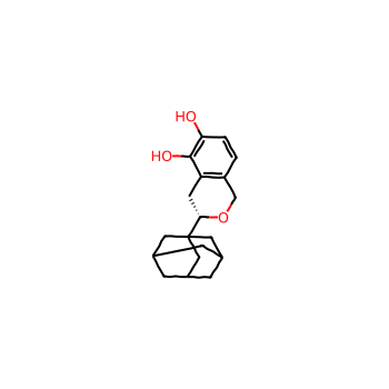 Oc1ccc2c(c1O)C[C@@H](C13CC4CC(CC(C4)C1)C3)OC2